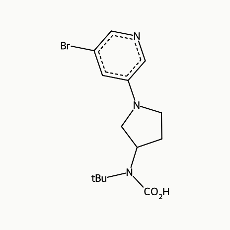 CC(C)(C)N(C(=O)O)C1CCN(c2cncc(Br)c2)C1